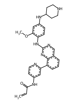 C=CC(=O)Nc1ccnc(-c2cccc3cnc(Nc4ccc(NC5CCNCC5)cc4OC)nc23)c1